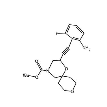 CC(C)(C)OC(=O)N1CC(C#Cc2c(N)cccc2F)OC2(CCOCC2)C1